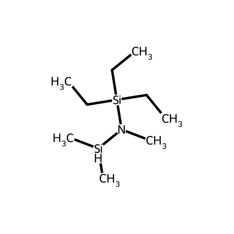 CC[Si](CC)(CC)N(C)[SiH](C)C